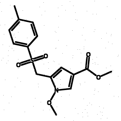 COC(=O)c1cc(CS(=O)(=O)c2ccc(C)cc2)n(OC)c1